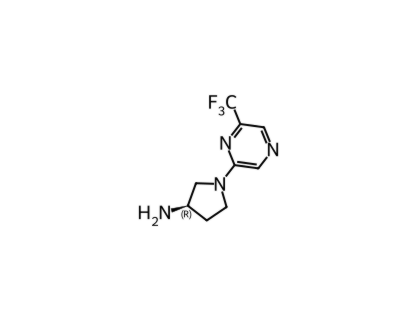 N[C@@H]1CCN(c2cncc(C(F)(F)F)n2)C1